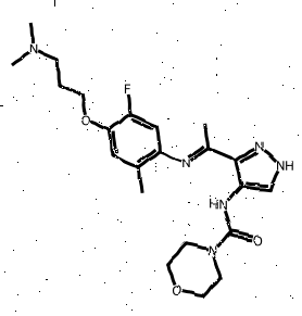 C/C(=N\c1cc(F)c(OCCCN(C)C)cc1C)c1n[nH]cc1NC(=O)N1CCOCC1